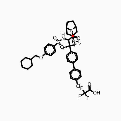 NC1CC2CCC(C1)N2C(=O)C(NS(=O)(=O)c1ccc(OCC2CCCCC2)cc1)C(F)(F)c1ccc(-c2ccc(Cl)cc2)cc1.O=C(O)C(F)(F)F